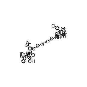 Cc1ncsc1-c1ccc(CNC(=O)[C@@H]2C[C@@H](O)CN2C(=O)C(C(C)C)N2Cc3ccccc3C2=O)c(OCCOCCOCCCOCCOCCNC(=O)C[C@@H]2N=C(c3ccc(Cl)cc3)c3c(sc(C)c3C)-n3c(C)nnc32)c1